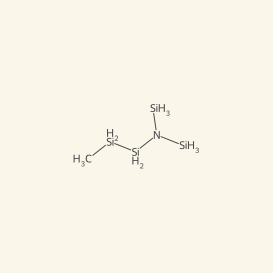 C[SiH2][SiH2]N([SiH3])[SiH3]